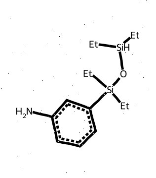 CC[SiH](CC)O[Si](CC)(CC)c1cccc(N)c1